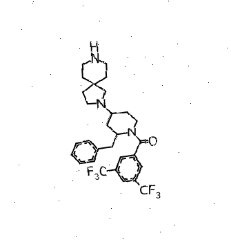 O=C(c1cc(C(F)(F)F)cc(C(F)(F)F)c1)N1CCC(N2CCC3(CCNCC3)C2)CC1Cc1ccccc1